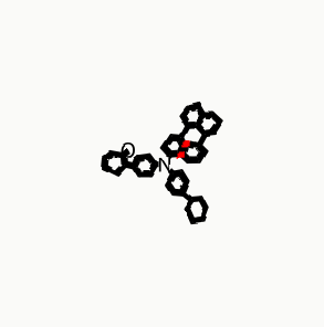 c1ccc(-c2cccc3cccc(-c4ccc(N(c5ccc(C6CCCCC6)cc5)c5ccc6c(c5)oc5ccccc56)cc4)c23)cc1